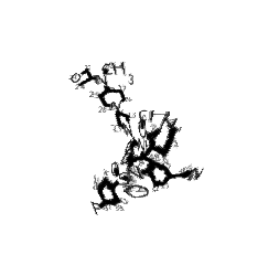 COc1ncccc1C1(NC(=O)N2CC(N3CCC(N(C)C4COC4)CC3)C2)C(=O)N(S(=O)(=O)c2ccc(F)cc2)c2ccc(C#N)cc21